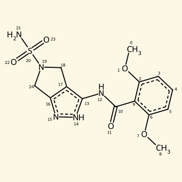 COc1cccc(OC)c1C(=O)Nc1[nH]nc2c1CN(S(N)(=O)=O)C2